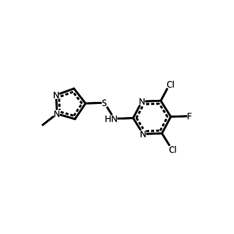 Cn1cc(SNc2nc(Cl)c(F)c(Cl)n2)cn1